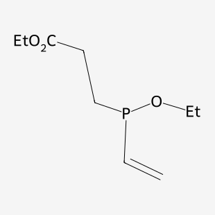 C=CP(CCC(=O)OCC)OCC